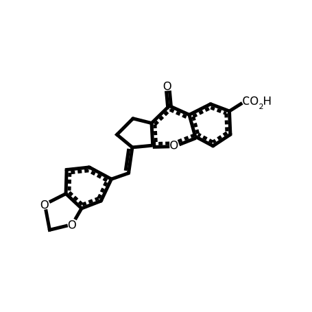 O=C(O)c1ccc2oc3c(c(=O)c2c1)CCC3=Cc1ccc2c(c1)OCO2